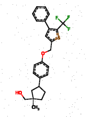 CC1(CO)CCC(c2ccc(OCc3cc(-c4ccccc4)c(C(F)(F)F)s3)cc2)C1